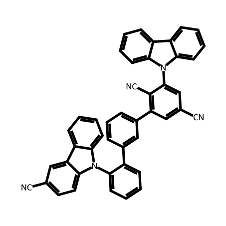 N#Cc1cc(-c2cccc(-c3ccccc3-n3c4ccccc4c4cc(C#N)ccc43)c2)c(C#N)c(-n2c3ccccc3c3ccccc32)c1